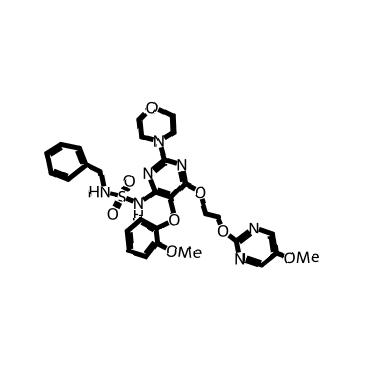 COc1cnc(OCCOc2nc(N3CCOCC3)nc(NS(=O)(=O)NCc3ccccc3)c2Oc2ccccc2OC)nc1